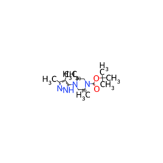 Cc1n[nH]c(N2C[C@@H](C)N(C(=O)OC(C)(C)C)C[C@H]2C)c1C